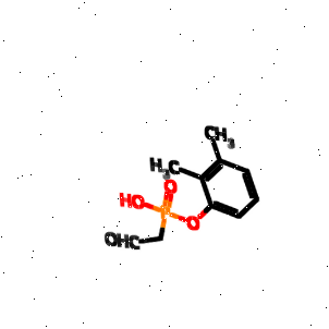 Cc1cccc(OP(=O)(O)CC=O)c1C